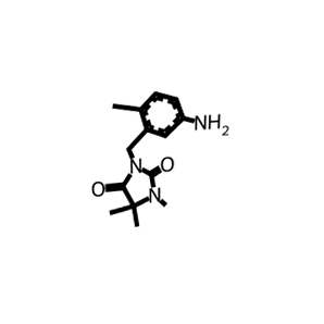 Cc1ccc(N)cc1CN1C(=O)N(C)C(C)(C)C1=O